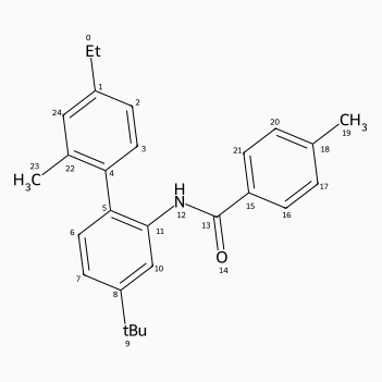 CCc1ccc(-c2ccc(C(C)(C)C)cc2NC(=O)c2ccc(C)cc2)c(C)c1